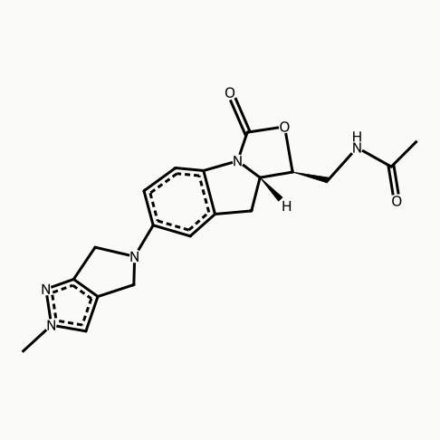 CC(=O)NC[C@@H]1OC(=O)N2c3ccc(N4Cc5cn(C)nc5C4)cc3C[C@@H]12